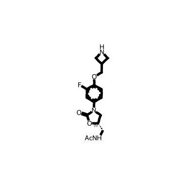 CC(=O)NC[C@H]1CN(c2ccc(OCC3CNC3)c(F)c2)C(=O)O1